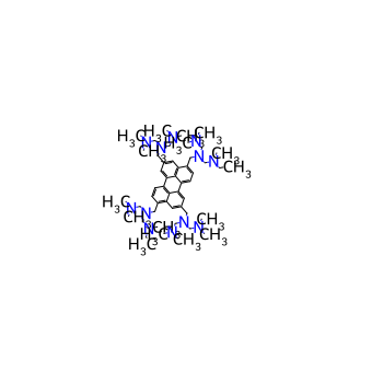 CCN(C)CN(Cc1ccc2c3cc(CN(CN(C)C)CN(C)C)cc4c(CN(CN(C)C)CN(C)CC)ccc(c5cc(CN(CN(C)C)CN(C)C)cc1c25)c43)CN(C)C